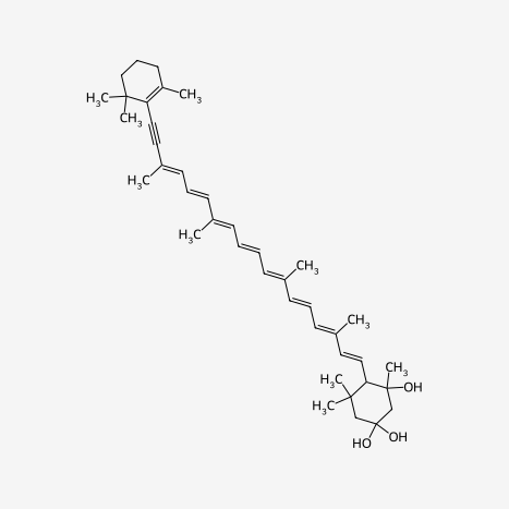 CC1=C(C#C/C(C)=C/C=C/C(C)=C/C=C/C=C(C)/C=C/C=C(C)/C=C/C2C(C)(C)CC(O)(O)CC2(C)O)C(C)(C)CCC1